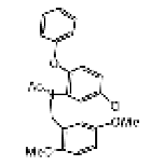 COc1ccc(OC)c(CN(C(C)=O)c2cc(Cl)ccc2Oc2ccccc2)c1